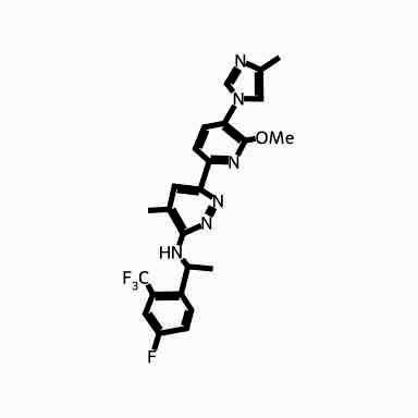 COc1nc(-c2cc(C)c(NC(C)c3ccc(F)cc3C(F)(F)F)nn2)ccc1-n1cnc(C)c1